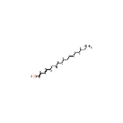 CCCCCCCCCCCCCCC=CC=CO